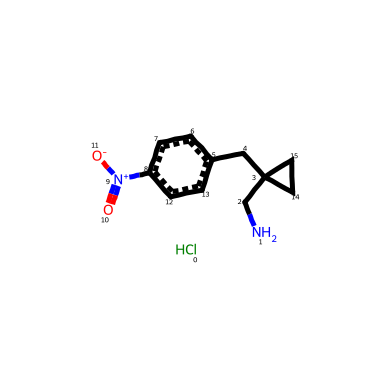 Cl.NCC1(Cc2ccc([N+](=O)[O-])cc2)CC1